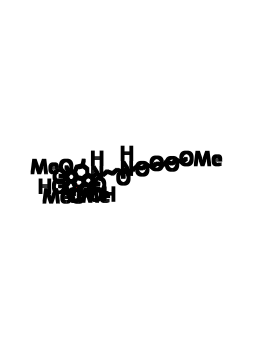 COCCOCCOCCOCCNC(=O)CCCCNc1c2c3c4c(c(OC)c(=O)c5c(O)cc(OC)c(c6c(OC)cc(O)c(c1=O)c63)c54)C=C(C)C2